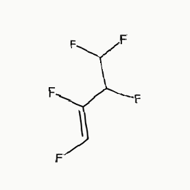 FC=C(F)C(F)C(F)F